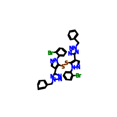 Brc1ccccc1-n1ncc(-c2nnn(Cc3ccccc3)n2)c1SSc1c(-c2nnn(Cc3ccccc3)n2)cnn1-c1ccccc1Br